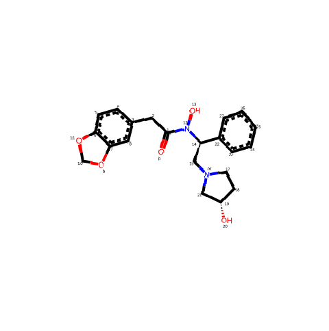 O=C(Cc1ccc2c(c1)OCO2)N(O)[C@H](CN1CC[C@H](O)C1)c1ccccc1